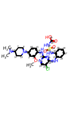 COc1cc(N2CCC(N(C)C)CC2)ccc1Nc1ncc(Cl)c(Nc2ccccc2NS(=O)(=O)NC(=O)O)n1